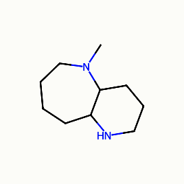 CN1CCCCC2NCCCC21